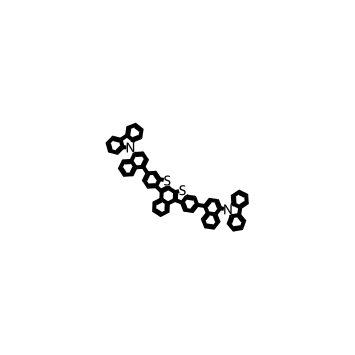 c1ccc2c(-n3c4ccccc4c4ccccc43)ccc(-c3ccc4c(c3)sc3c5sc6cc(-c7ccc(-n8c9ccccc9c9ccccc98)c8ccccc78)ccc6c5c5ccccc5c43)c2c1